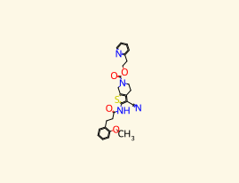 COc1ccccc1CCC(=O)Nc1sc2c(c1C#N)CCN(C(=O)OCCc1ccccn1)C2